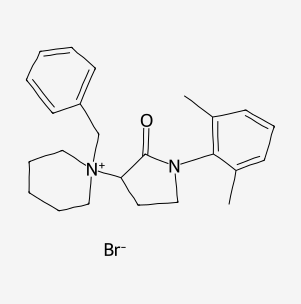 Cc1cccc(C)c1N1CCC([N+]2(Cc3ccccc3)CCCCC2)C1=O.[Br-]